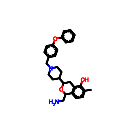 Cc1ccc2c(c1O)CC(C1CCN(Cc3ccc(Oc4ccccc4)cc3)CC1)OC2CN